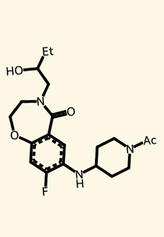 CCC(O)CN1CCOc2cc(F)c(NC3CCN(C(C)=O)CC3)cc2C1=O